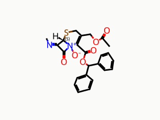 CN=C1C(=O)[N+]2([O-])C(C(=O)OC(c3ccccc3)c3ccccc3)=C(COC(C)=O)CS[C@@H]12